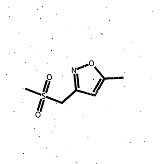 [CH2]S(=O)(=O)Cc1cc(C)on1